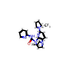 O=C(Nc1ccccn1)N1c2nc(N3CCC[C@@H]3C(F)(F)F)ccc2N2CC[C@H]1C2